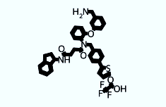 NCc1cccc(Oc2ccccc2N(Cc2ccc(-c3cccs3)cc2)C(=O)CCC(=O)NC2CCc3ccccc32)c1.O=C(O)C(F)(F)F